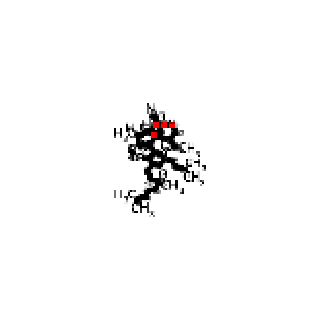 COC(=O)/C(C)=C\CC1(O)C(=O)CCC(C(C)C)C12Oc1c(CC=C(C)C)c3c(c(O)c1C(=O)C2C(C)C(C#N)C#N)C=CC(C)(CCC=C(C)C)O3